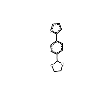 c1csc(-c2ccc(C3OCCO3)cc2)c1